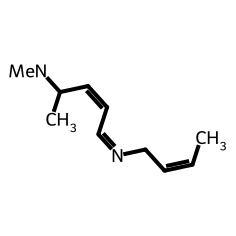 C/C=C\C/N=C\C=C/C(C)NC